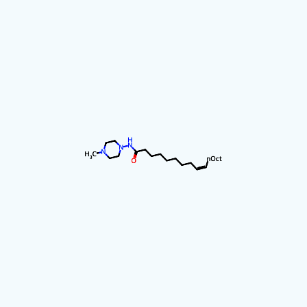 CCCCCCCC/C=C\CCCCCCCC(=O)NN1CCN(C)CC1